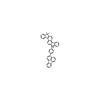 CC1(C)c2ccccc2-c2c1ccc1c2ccc2c1c1ccccc1n2-c1ccc(-c2ccc3c4c(cccc24)-c2ccccc2-3)cc1